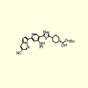 CC(C)Nc1cc(-c2ccc3cc(C#N)cnn23)ncc1-c1nnc(C2CCN(C(O)OC(C)(C)C)CC2)s1